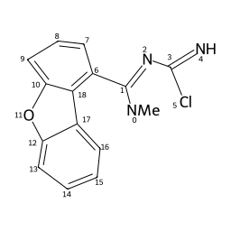 CN/C(=N\C(=N)Cl)c1cccc2oc3ccccc3c12